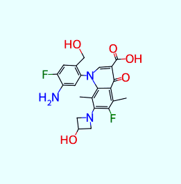 Cc1c(F)c(N2CC(O)C2)c(C)c2c1c(=O)c(C(=O)O)cn2-c1cc(N)c(F)cc1CO